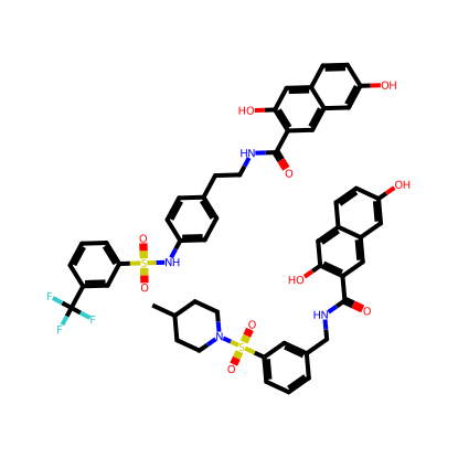 CC1CCN(S(=O)(=O)c2cccc(CNC(=O)c3cc4cc(O)ccc4cc3O)c2)CC1.O=C(NCCc1ccc(NS(=O)(=O)c2cccc(C(F)(F)F)c2)cc1)c1cc2cc(O)ccc2cc1O